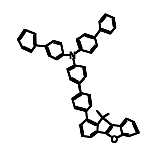 CC1(C)c2c(-c3ccc(-c4ccc(N(c5ccc(-c6ccccc6)cc5)c5ccc(-c6ccccc6)cc5)cc4)cc3)cccc2-c2oc3ccccc3c21